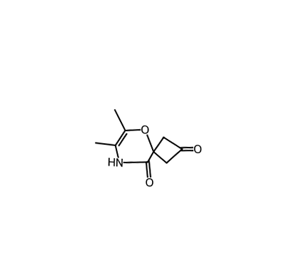 CC1=C(C)OC2(CC(=O)C2)C(=O)N1